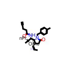 C#CCCC(=O)N[C@H]([C@H]1[C@H](/C=C\C)CC(=O)N1Cc1ccc(C)cc1)[C@](C)(CCC)OC